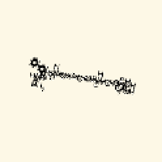 C[C@@H]1O[C@@H](OCCOCCNC(=O)CCOCCOCCOCCOCCNC(=O)COc2ccc(-c3ccccc3)cc2C(=O)NCCN)[C@H](O)[C@H](O)[C@H]1O